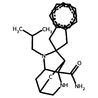 CC(C)CN1C2CC3CNC2(C(N)=O)C(C3)C1(Cc1ccccc1)Cc1ccccc1